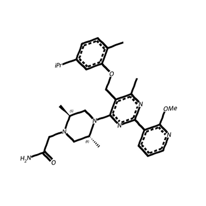 COc1ncccc1-c1nc(C)c(COc2cc(C(C)C)ccc2C)c(N2C[C@H](C)N(CC(N)=O)C[C@H]2C)n1